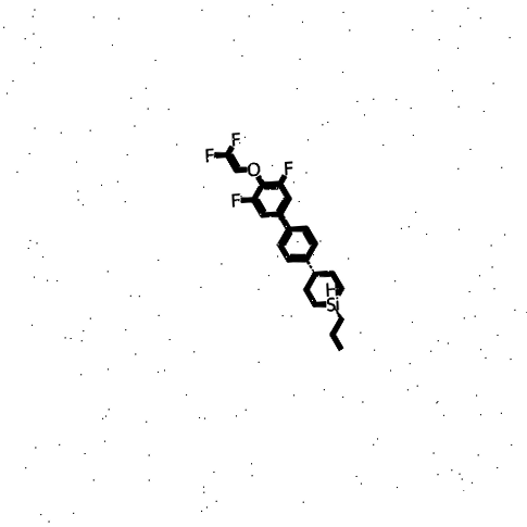 CCC[Si@H]1CC[C@H](c2ccc(-c3cc(F)c(OC=C(F)F)c(F)c3)cc2)CC1